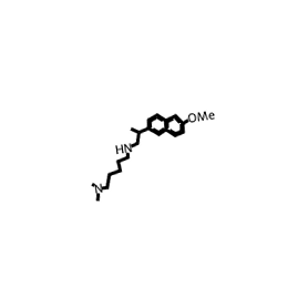 COc1ccc2cc(C(C)CNCCCCCN(C)C)ccc2c1